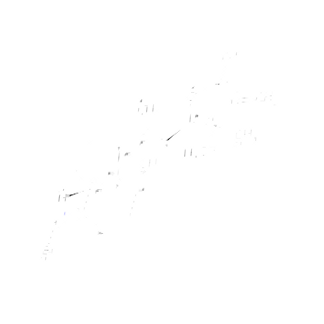 C=C1C(=O)O[C@H](C[C@@H](C)[C@H]2CC[C@H]3/C(=C/Br)CCC[C@]23C)C1(C)C